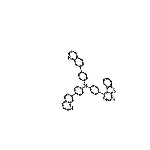 c1cnc2cc(-c3ccc(N(c4ccc(-c5ccc6cccnc6c5)cc4)c4ccc(-c5ncnc6sc7ccccc7c56)cc4)cc3)ccc2c1